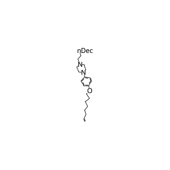 C=CCCCCCCOc1ccc(N2CCN(CCCCCCCCCCCC)CC2)cc1